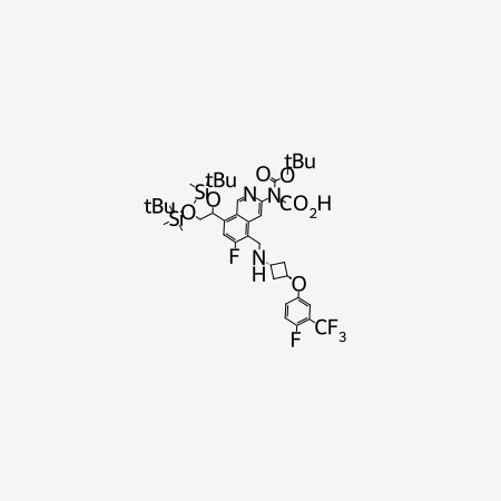 CC(C)(C)OC(=O)N(C(=O)O)c1cc2c(CN[C@H]3C[C@H](Oc4ccc(F)c(C(F)(F)F)c4)C3)c(F)cc(C(CO[Si](C)(C)C(C)(C)C)O[Si](C)(C)C(C)(C)C)c2cn1